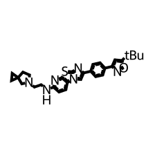 CC(C)(C)c1cc(-c2ccc(-c3cn4c(n3)sc3nc(NCCN5CCC6(CC6)C5)ccc34)cc2)no1